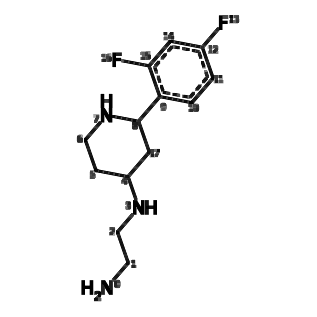 NCCNC1CCNC(c2ccc(F)cc2F)C1